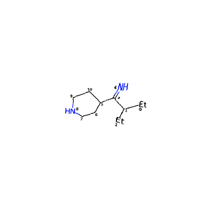 CCC(CC)C(=N)C1CCNCC1